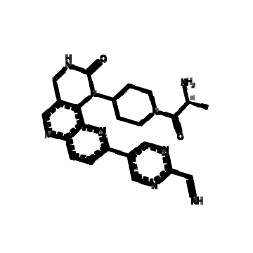 C[C@H](N)C(=O)N1CCC(N2C(=O)NCc3cnc4ccc(-c5cnc(C=N)nc5)nc4c32)CC1